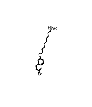 CNCCCCCCCCCOc1ccc2cc(Br)ccc2c1